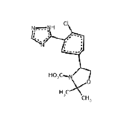 CC1(C)OCC(c2ccc(Cl)c(-c3ncn[nH]3)c2)N1C(=O)O